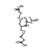 CC(C)C(=O)CCOCC(COCCC(=O)C(C)C)NC(=O)CN(C)C(C)C